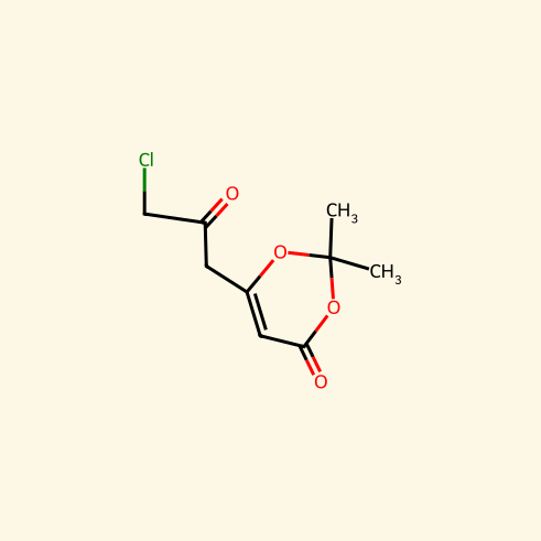 CC1(C)OC(=O)C=C(CC(=O)CCl)O1